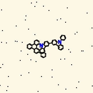 c1ccc(-c2ccc3c4ccccc4c4cccc(-n5c6ccccc6c6cc(-c7ccc8c(c7)c7ccccc7n8-c7ccccc7)ccc65)c4c3c2)cc1